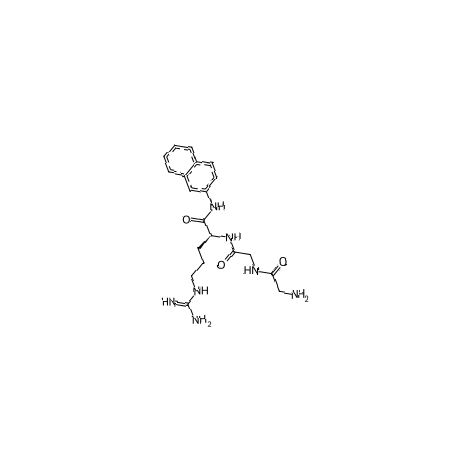 N=C(N)NCCC[C@H](NC(=O)CNC(=O)CN)C(=O)Nc1ccc2ccccc2c1